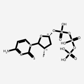 Nc1ccn(C2O[C@H](OP(=O)(O)OP(=O)(O)OP(=O)(O)O)C[C@@H]2F)c(=S)n1